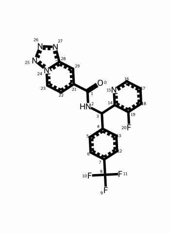 O=C(NC(c1ccc(C(F)(F)F)cc1)c1ncccc1F)c1ccn2nnnc2c1